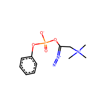 C[N+](C)(C)CC(=[N+]=[N-])OP(=O)([O-])Oc1ccccc1